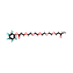 CC(C)C(=O)CCOCCOCCOCCOCCOCCC(=O)Oc1c(F)c(F)c(F)c(F)c1F